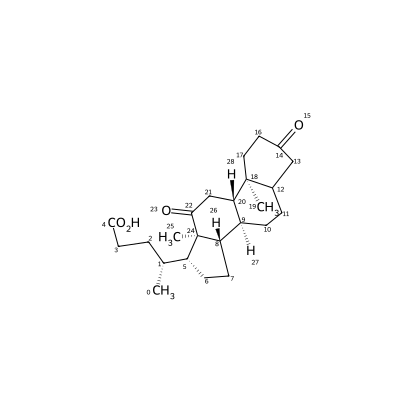 C[C@H](CCC(=O)O)[C@H]1CC[C@H]2[C@@H]3CCC4CC(=O)CC[C@]4(C)[C@H]3CC(=O)[C@]12C